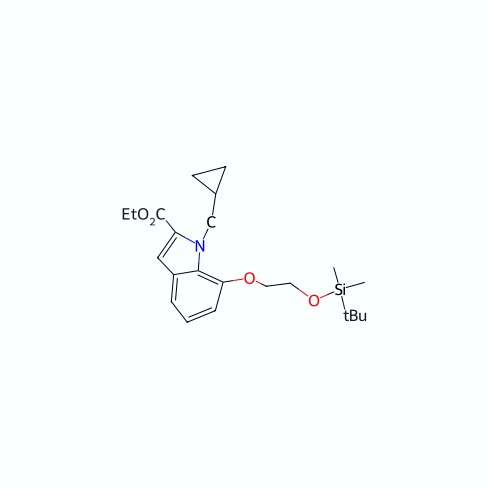 CCOC(=O)c1cc2cccc(OCCO[Si](C)(C)C(C)(C)C)c2n1CC1CC1